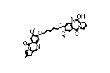 COc1cc2c(cc1OCCCCCOc1cc3c(cc1OC)C(=O)N1C=CCC1C(O)N3C)N=CC1CC(C)=CN1C2=O